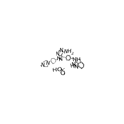 CC(=O)O.CN1CCN([C@H]2CC[C@H](n3nc(-c4ccc(Nc5n[nH]c6ccccc56)cc4)c4c(N)ncnc43)CC2)CC1